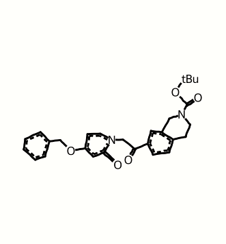 CC(C)(C)OC(=O)N1CCc2ccc(C(=O)Cn3ccc(OCc4ccccc4)cc3=O)cc2C1